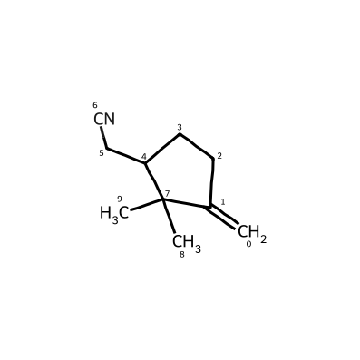 C=C1CCC(CC#N)C1(C)C